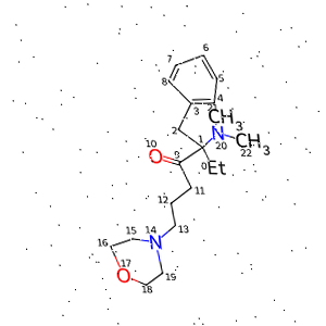 CCC(Cc1ccccc1)(C(=O)CCCN1CCOCC1)N(C)C